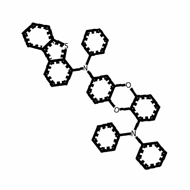 c1ccc(N(c2ccccc2)c2cccc3c2Oc2ccc(N(c4ccccc4)c4cccc5c4sc4ccccc45)cc2O3)cc1